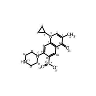 Cc1cn(C2CC2)c2cc(N3CCNCC3)c([N+](=O)[O-])cc2c1=O